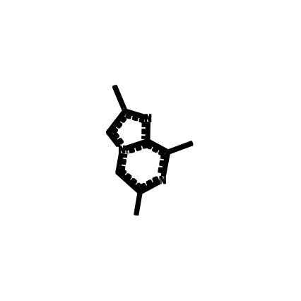 Cc1cn2cc(C)nc2c(C)n1